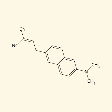 CN(C)c1ccc2cc(CC=C(C#N)C#N)ccc2c1